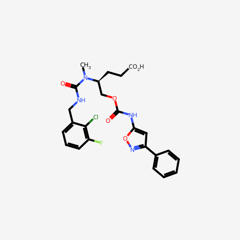 CN(C(=O)NCc1cccc(F)c1Cl)[C@@H](CCC(=O)O)COC(=O)Nc1cc(-c2ccccc2)no1